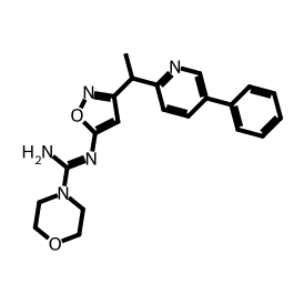 CC(c1ccc(-c2ccccc2)cn1)c1cc(/N=C(\N)N2CCOCC2)on1